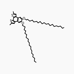 CCCCCCCCCCCCCCCCCCCCOc1cc2c(cc1OCCCCCCCCCCCCCCCCCCCC)c1cc(C)sc1c1sc(C)cc21